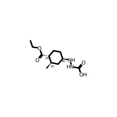 CCOC(=O)[C@@H]1CC[C@@H](NNC(=O)O)C[C@H]1C